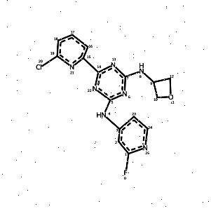 Fc1cc(Nc2nc(NC3COC3)nc(-c3cccc(Cl)n3)n2)ccn1